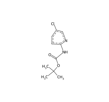 CC(C)(C)OC(=O)Nc1ccc(Cl)cn1